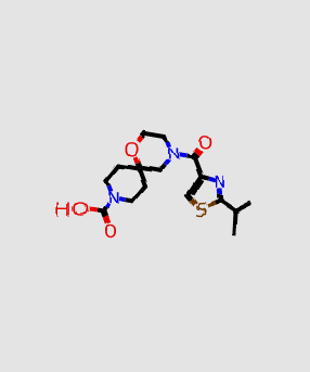 CC(C)c1nc(C(=O)N2CCOC3(CCN(C(=O)O)CC3)C2)cs1